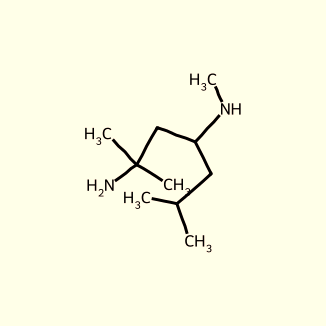 CNC(CC(C)C)CC(C)(C)N